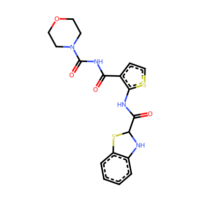 O=C(NC(=O)N1CCOCC1)c1ccsc1NC(=O)C1Nc2ccccc2S1